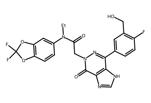 CCN(C(=O)Cn1nc(-c2ccc(F)c(CO)c2)c2[nH]cnc2c1=O)c1ccc2c(c1)OC(F)(F)O2